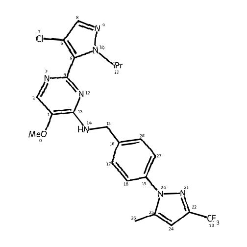 COc1cnc(-c2c(Cl)cnn2C(C)C)nc1NCc1ccc(-n2nc(C(F)(F)F)cc2C)cc1